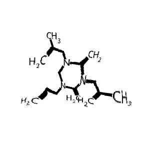 C=CCN1CN(CC(=C)C)C(=C)N(CC(=C)C)C1=C